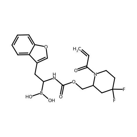 C=CC(=O)N1CCC(F)(F)CC1COC(=O)NC(Cc1coc2ccccc12)B(O)O